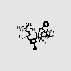 C=C(Cc1cc(N/C(C)=N/C=C(\C(=C)N2OCC[C@H]2c2ccccc2)C(F)(F)F)cc(C2CC2)c1)CC(C)NC(C)CC